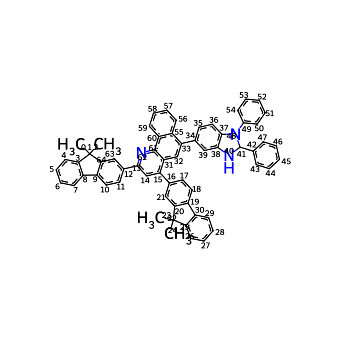 CC1(C)c2ccccc2-c2ccc(-c3cc(-c4ccc5c(c4)C(C)(C)c4ccccc4-5)c4cc(-c5ccc6c(c5)NC(c5ccccc5)N6c5ccccc5)c5ccccc5c4n3)cc21